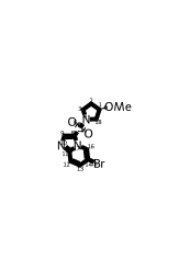 CO[C@H]1CCN(S(=O)(=O)c2cnc3ccc(Br)cn23)C1